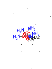 CCCC(NC(C)=O)C(=O)NC1OC(COCCCN)C(OCCCN)C(OCCCN)C1OCCCN